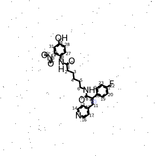 O=C(CCCCCNC(=O)/C(=C\c1ccncc1)c1ccc(F)cc1)Nc1ccc(O)cc1[N+](=O)[O-]